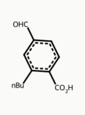 CCCCc1cc(C=O)ccc1C(=O)O